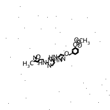 Cc1cc(CNc2nccc(Nc3cc(OCc4cccc(OS(C)(=O)=O)c4)n[nH]3)n2)on1